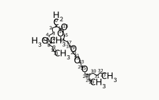 C=C(CCC[N+](C)(C)CCCC)C(=O)OCCCCOCCOCCOCC(CC)CCCC